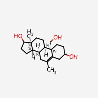 CC1=C2CC(O)CC[C@]2(CO)[C@@H]2CC[C@]3(C)C(O)CC[C@H]3[C@@H]2C1